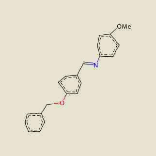 COc1ccc(N=Cc2ccc(OCc3ccccc3)cc2)cc1